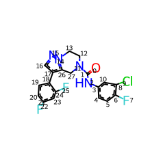 O=C(Nc1ccc(F)c(Cl)c1)N1CCn2ncc(-c3ccc(F)cc3F)c2C1